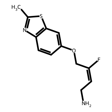 Cc1nc2ccc(OC/C(F)=C\CN)cc2s1